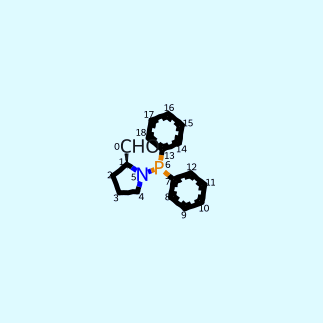 O=[C][C@@H]1CCCN1P(c1ccccc1)c1ccccc1